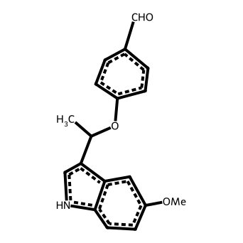 COc1ccc2[nH]cc(C(C)Oc3ccc(C=O)cc3)c2c1